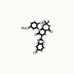 COc1ccc(OC)c(-n2c3c(cc(-c4nc5cc(Cl)ccc5s4)c2=O)C(=O)CC(C)(C)C3)c1